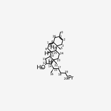 CC1=CC[C@@]2(C)C(=CC[C@H]3[C@@H]4C[C@H](O)[C@H]([C@H](C)CCCC(C)C)[C@@]4(C)CC[C@@H]32)C1